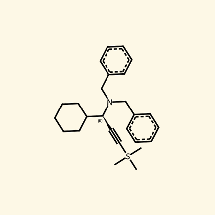 CS(C)(C)C#C[C@@H](C1CCCCC1)N(Cc1ccccc1)Cc1ccccc1